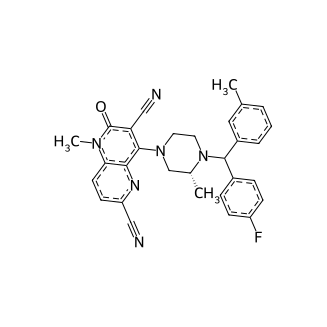 Cc1cccc(C(c2ccc(F)cc2)N2CCN(c3c(C#N)c(=O)n(C)c4ccc(C#N)nc34)C[C@H]2C)c1